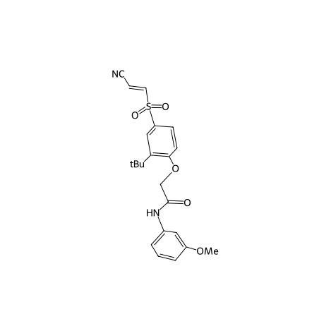 COc1cccc(NC(=O)COc2ccc(S(=O)(=O)C=CC#N)cc2C(C)(C)C)c1